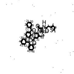 O=C(Cc1cccs1)N[C@@H]1C(=O)N2C(C(=O)OC(c3ccccc3)c3ccccc3)=C(C=CC(=O)OC(c3ccccc3)c3ccccc3)CS[C@@H]12